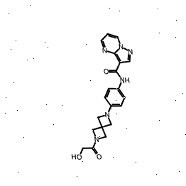 O=C(Nc1ccc(N2CC3(CN(C(=O)CO)C3)C2)cc1)c1cnn2cccnc12